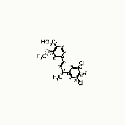 O=C(O)c1ccc(/C=C/C(c2cc(Cl)c(F)c(Cl)c2)C(F)(F)F)cc1OC(F)(F)F